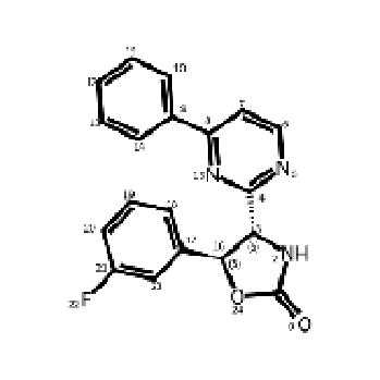 O=C1N[C@@H](c2nccc(-c3ccccc3)n2)[C@H](c2cccc(F)c2)O1